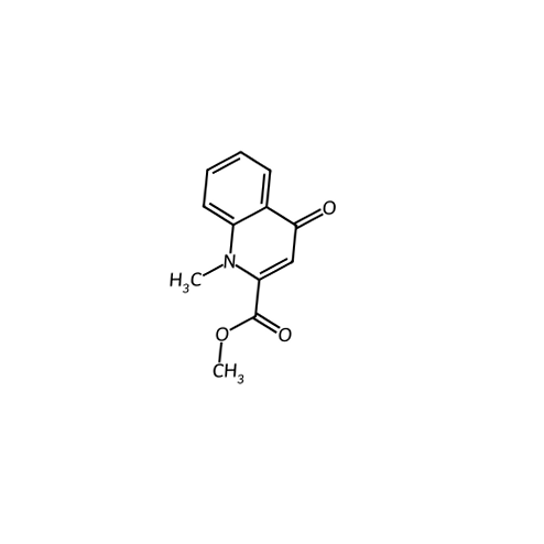 COC(=O)c1cc(=O)c2ccccc2n1C